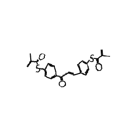 C=C(C)C(=O)Sc1ccc(/C=C/C(=O)c2ccc(SC(=O)C(=C)C)cc2)cc1